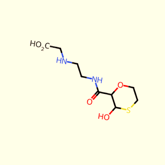 O=C(O)CNCCNC(=O)C1OCCSC1O